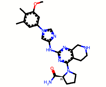 COc1cc(-n2cnc(Nc3nc4c(c(N5CCC[C@H]5C(N)=O)n3)CCNC4)c2)cc(C)c1C